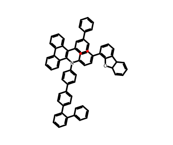 C1=CC2Oc3c(-c4ccc(N(c5ccc(-c6ccc(-c7ccccc7-c7ccccc7)cc6)cc5)c5c(-c6cccc(-c7ccccc7)c6)c6ccccc6c6ccccc56)cc4)cccc3C2C=C1